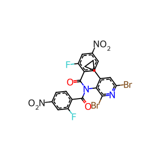 O=C(c1ccc([N+](=O)[O-])cc1F)N(C(=O)c1ccc([N+](=O)[O-])cc1F)c1c(C2CC2)cc(Br)nc1Br